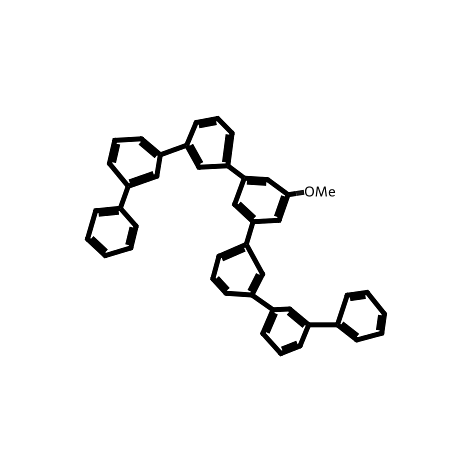 COc1cc(-c2cccc(-c3cccc(-c4ccccc4)c3)c2)cc(-c2cccc(-c3cccc(-c4ccccc4)c3)c2)c1